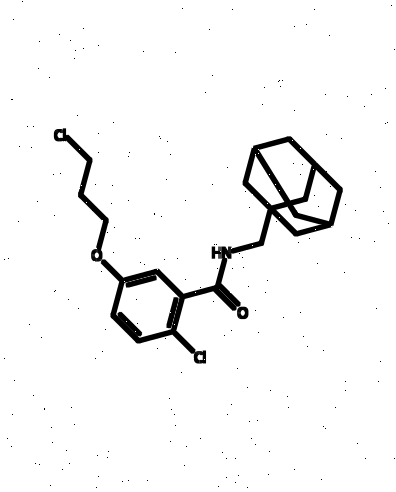 O=C(NCC12CC3CC(CC(C3)C1)C2)c1cc(OCCCCl)ccc1Cl